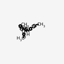 CCCN1CCN(c2ccc(Nc3ncc(C(=O)Nc4c(C)cccc4C)c(Oc4ccc(OC)cc4)n3)cc2)CC1